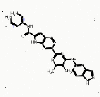 Cc1nc(-c2ccc3cc(C(=O)NC(/C=C\N)=C/N)[nH]c3c2)nc(Nc2ccc3[nH]ncc3c2)c1C